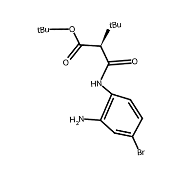 CC(C)(C)OC(=O)[C@H](C(=O)Nc1ccc(Br)cc1N)C(C)(C)C